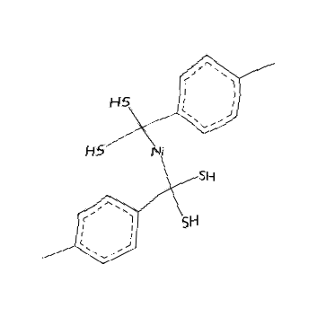 Cc1ccc([C](S)(S)[Ni][C](S)(S)c2ccc(C)cc2)cc1